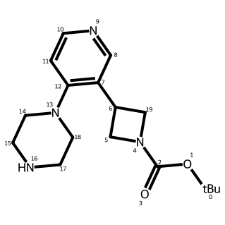 CC(C)(C)OC(=O)N1CC(c2cnccc2N2CCNCC2)C1